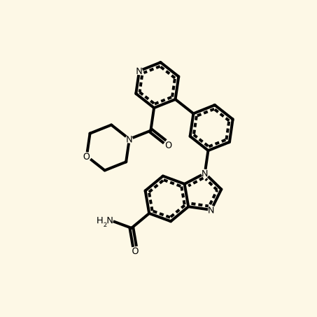 NC(=O)c1ccc2c(c1)ncn2-c1cccc(-c2ccncc2C(=O)N2CCOCC2)c1